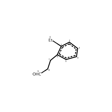 CCc1ccccc1CC[C]=O